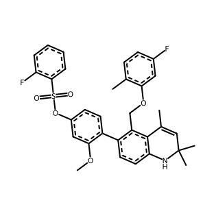 COc1cc(OS(=O)(=O)c2ccccc2F)ccc1-c1ccc2c(c1COc1cc(F)ccc1C)C(C)=CC(C)(C)N2